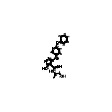 CC(CO)NC(=N)c1c(O)nsc1Nc1ccc(Oc2ccccc2)nc1